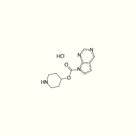 Cl.O=C(OC1CCNCC1)n1ccc2cncnc21